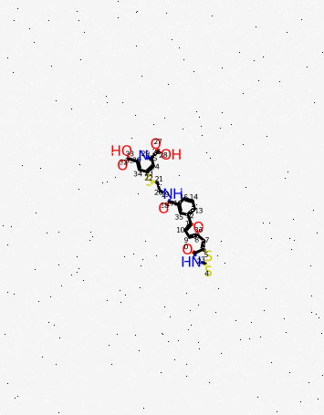 O=C1NC(=S)SC1=Cc1ccc(-c2cccc(C(=O)NCCSc3cc(C(=O)O)nc(C(=O)O)c3)c2)o1